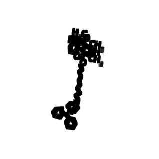 COC(=O)C1=C(C)NC(C)=C(C(=O)OCCCCCCCCCCN2CCN(C(c3ccccc3)c3ccccc3)CC2)[C@@H]1c1cccc2nonc12